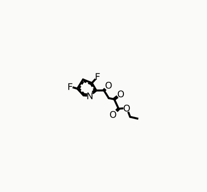 CCOC(=O)C(=O)CC(=O)c1ncc(F)cc1F